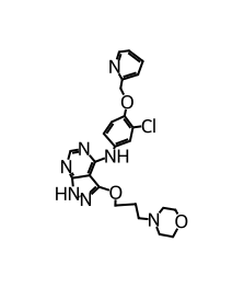 Clc1cc(Nc2ncnc3[nH]nc(OCCCN4CCOCC4)c23)ccc1OCc1ccccn1